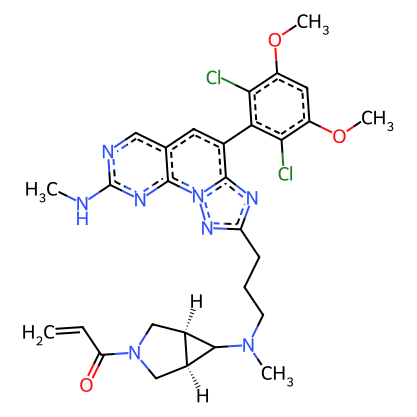 C=CC(=O)N1C[C@@H]2C(N(C)CCCc3nc4c(-c5c(Cl)c(OC)cc(OC)c5Cl)cc5cnc(NC)nc5n4n3)[C@@H]2C1